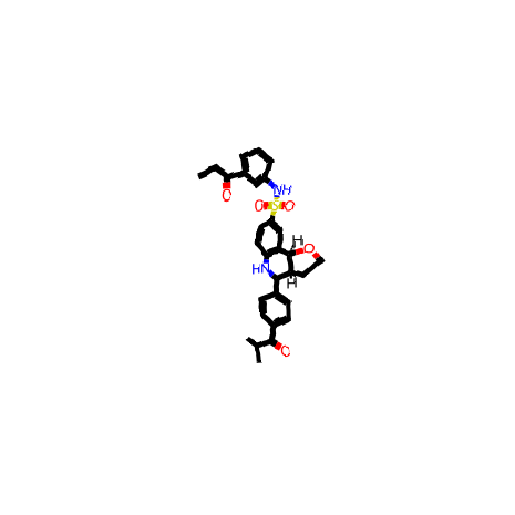 CCC(=O)c1cccc(NS(=O)(=O)c2ccc3c(c2)[C@H]2OCC[C@H]2C(c2ccc(C(=O)C(C)C)cc2)N3)c1